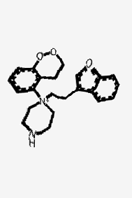 c1cc2c(c([N+]3(CCc4coc5ccccc45)CCNCC3)c1)CCOO2